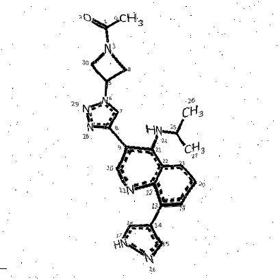 CC(=O)N1CC(n2cc(-c3cnc4c(-c5cn[nH]c5)cccc4c3NC(C)C)nn2)C1